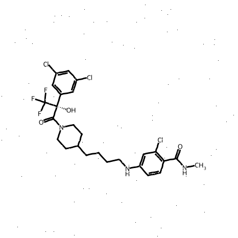 CNC(=O)c1ccc(NCCCCC2CCN(C(=O)[C@](O)(c3cc(Cl)cc(Cl)c3)C(F)(F)F)CC2)cc1Cl